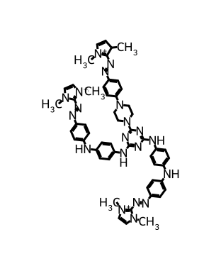 CC1C=C[N+](C)=C1N=Nc1ccc(N2CCN(c3nc(Nc4ccc(Nc5ccc(N=Nc6n(C)cc[n+]6C)cc5)cc4)nc(Nc4ccc(Nc5ccc(N=Nc6n(C)cc[n+]6C)cc5)cc4)n3)CC2)cc1